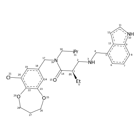 CC[C@H](CNCc1cccc2[nH]ccc12)C(=O)N(Cc1cc(Cl)c2c(c1)OCCCO2)CC(C)C